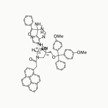 COc1ccc(C(OC[C@]23CN(C(=O)Cc4ccc5ccc6cccc7ccc4c5c67)[C@H]([C@H](n4cnc5c4N=CNC5(N)C(=O)c4ccccc4)O2)[C@H]3O)(c2ccccc2)c2ccc(OC)cc2)cc1